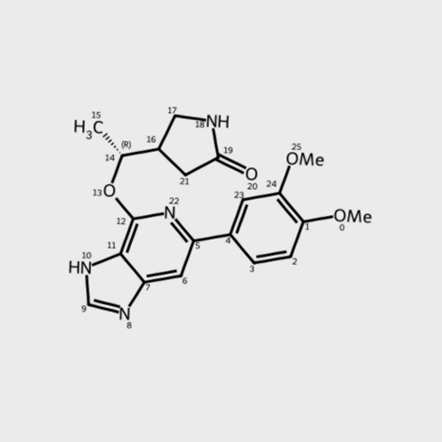 COc1ccc(-c2cc3nc[nH]c3c(O[C@H](C)C3CNC(=O)C3)n2)cc1OC